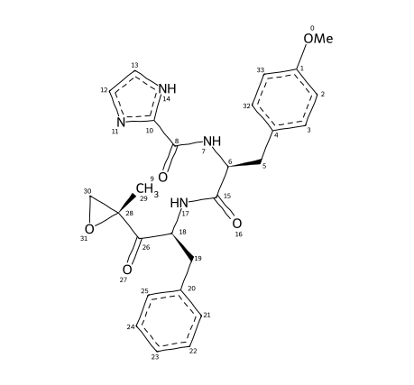 COc1ccc(C[C@H](NC(=O)c2ncc[nH]2)C(=O)N[C@@H](Cc2ccccc2)C(=O)[C@@]2(C)CO2)cc1